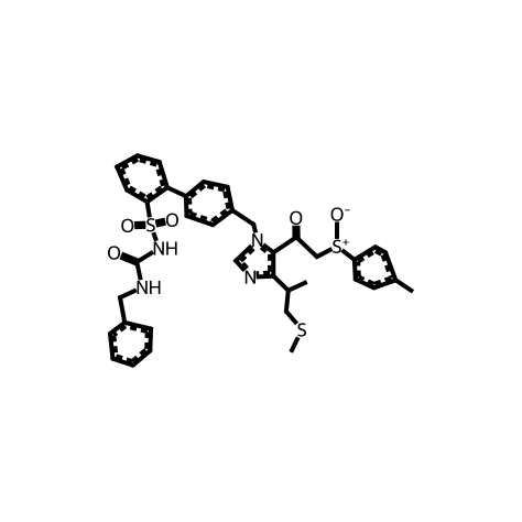 CSCC(C)c1ncn(Cc2ccc(-c3ccccc3S(=O)(=O)NC(=O)NCc3ccccc3)cc2)c1C(=O)C[S+]([O-])c1ccc(C)cc1